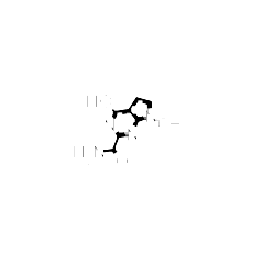 Cn1ccc2c(O)nc(C(N)=O)nc21